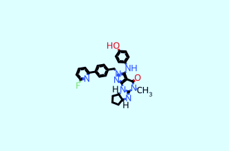 CN1C(=O)c2c(nn(Cc3ccc(-c4cccc(F)n4)cc3)c2Nc2ccc(O)cc2)N2C1=N[C@@H]1CCC[C@@H]12